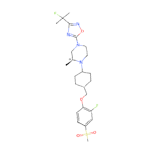 C[C@H]1CN(c2nc(C(C)(C)F)no2)CCN1C1CCC(COc2ccc(S(C)(=O)=O)cc2F)CC1